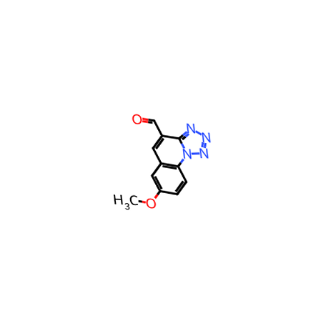 COc1ccc2c(c1)cc(C=O)c1nnnn12